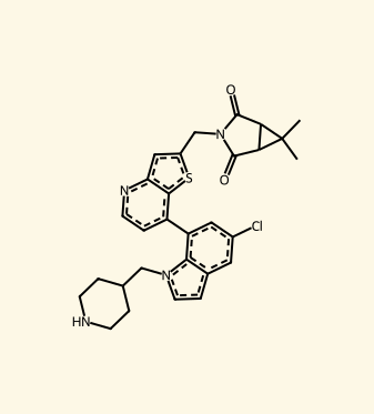 CC1(C)C2C(=O)N(Cc3cc4nccc(-c5cc(Cl)cc6ccn(CC7CCNCC7)c56)c4s3)C(=O)C21